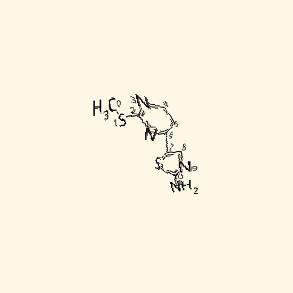 CSc1nccc(-c2cnc(N)s2)n1